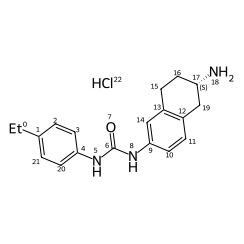 CCc1ccc(NC(=O)Nc2ccc3c(c2)CC[C@H](N)C3)cc1.Cl